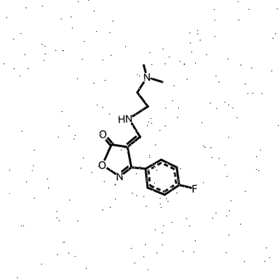 CN(C)CCNC=C1C(=O)ON=C1c1ccc(F)cc1